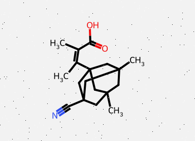 CC(C(=O)O)=C(C)C12CC3(C)CC(C)(CC(C#N)(C3)C1)C2